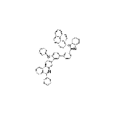 c1ccc(-c2nc3cc4c5cc(-c6cccc(-c7nc8ccccc8n7-c7ccc8ccc9cccc%10ccc7c8c9%10)c6)ccc5n(-c5ccccc5)c4cc3c3ccccc23)cc1